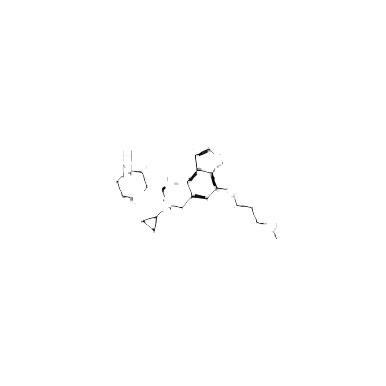 COCCCOc1cc(CN(C(=O)[C@H]2CNCCO2)C2CC2)cc2ccsc12